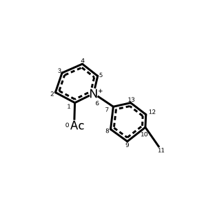 CC(=O)c1cccc[n+]1-c1ccc(C)cc1